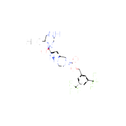 CC1CNCCN1C(=O)c1cc2n(n1)CCN(C(=O)OCc1cc(C(F)(F)F)cc(C(F)(F)F)c1)C2